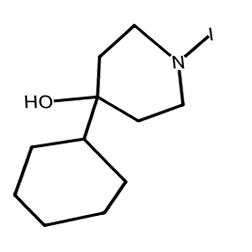 OC1(C2CCCCC2)CCN(I)CC1